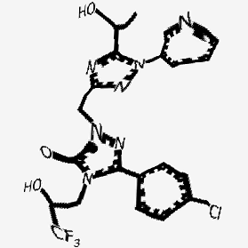 CC(O)c1nc(Cn2nc(-c3ccc(Cl)cc3)n(CC(O)C(F)(F)F)c2=O)nn1-c1cccnc1